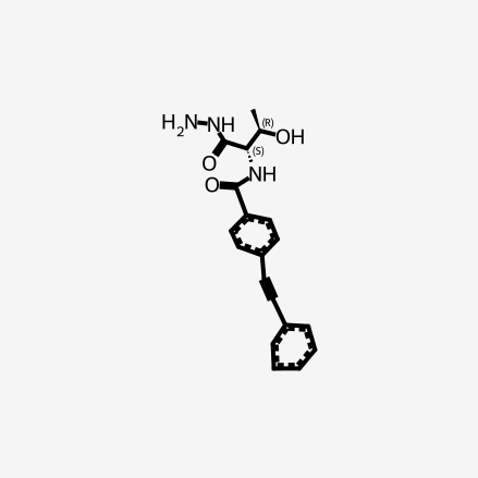 C[C@@H](O)[C@H](NC(=O)c1ccc(C#Cc2ccccc2)cc1)C(=O)NN